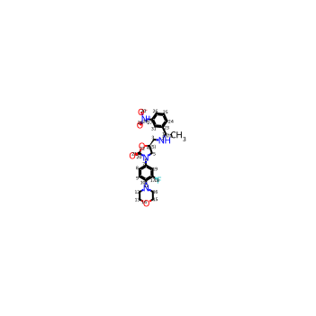 C[C@H](NC[C@H]1CN(c2ccc(N3CCOCC3)c(F)c2)C(=O)O1)c1cccc([N+](=O)[O-])c1